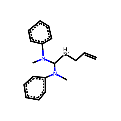 C=CC[SiH2]C(N(C)c1ccccc1)N(C)c1ccccc1